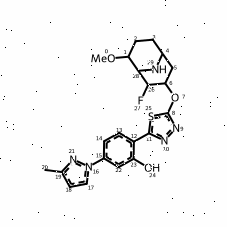 COC1CCC2CC(Oc3nnc(-c4ccc(-n5ccc(C)n5)cc4O)s3)C(F)C1N2